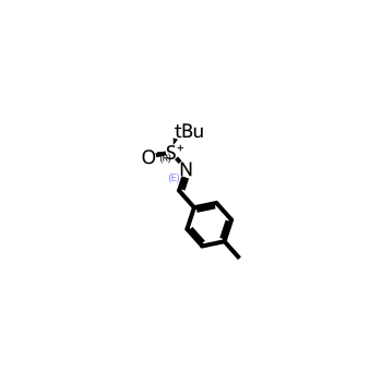 Cc1ccc(/C=N/[S@@+]([O-])C(C)(C)C)cc1